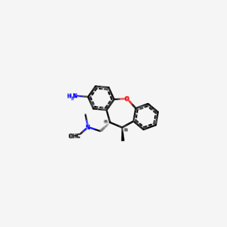 C[C@@H]1c2ccccc2Oc2ccc(N)cc2[C@H]1CN(C)C=O